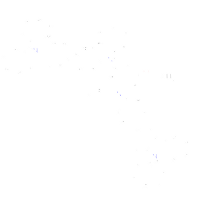 C=COc1cc(-n2c3ccccc3c3cc(-c4ccc5c(c4)c4ccccc4n5-c4ccccc4)ccc32)cc(-n2c3ccccc3c3cc(-c4ccc5c(c4)c4ccccc4n5-c4ccccc4)ccc32)c1